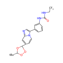 CC(C)(C)C1OOC(c2ccn3c(-c4cccc(NC(=O)NCC(F)(F)F)c4)cnc3c2)O1